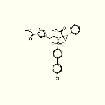 COC(=O)c1cn(CCN([C@]2(C(=O)O)C[C@H]2c2ccccc2)S(=O)(=O)c2ccc(-c3ccc(Cl)cc3)cc2)cn1